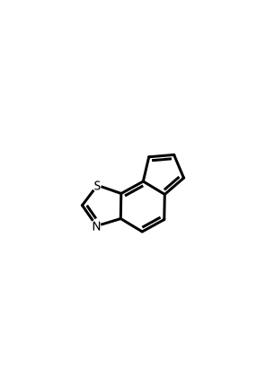 C1=CC2=C3SC=NC3C=CC2=C1